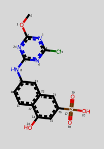 COc1nc(Cl)nc(Nc2ccc3c(O)cc(S(=O)(=O)O)cc3c2)n1